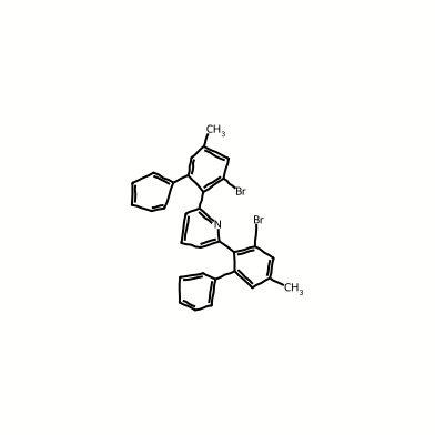 Cc1cc(Br)c(-c2cccc(-c3c(Br)cc(C)cc3-c3ccccc3)n2)c(-c2ccccc2)c1